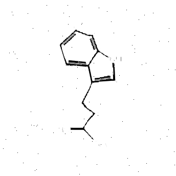 OC(O)CCc1c[nH]c2ccccc12